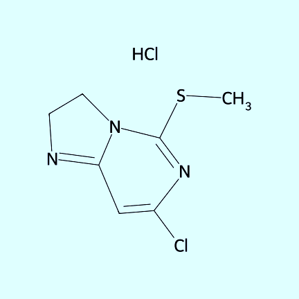 CSC1=NC(Cl)=CC2=NCCN21.Cl